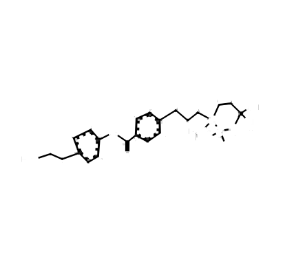 CCCc1ccc(OC(=O)c2ccc(CCC[Si]3(C)CCC(C)(C)O[Si]3(C)C)cc2)cc1